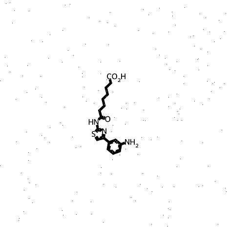 Nc1cccc(-c2csc(NC(=O)CCCCCCC(=O)O)n2)c1